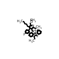 CCCCCc1c(COC)nc(C(C)C)c(CO[Si](c2ccccc2)(c2ccccc2)C(F)CCC)c1-c1ccc(F)cc1